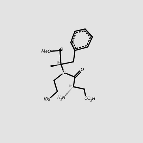 COC(=O)[C@](C)(Cc1ccccc1)N(CCC(C)(C)C)C(=O)[C@@H](N)CC(=O)O